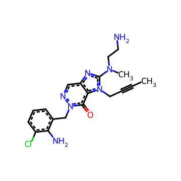 CC#CCn1c(N(C)CCN)nc2cnn(Cc3cccc(Cl)c3N)c(=O)c21